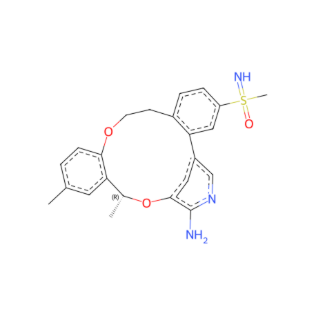 Cc1ccc2c(c1)[C@@H](C)Oc1cc(cnc1N)-c1cc(S(C)(=N)=O)ccc1CCO2